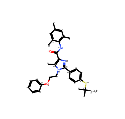 Cc1cc(C)c(NC(=O)c2nc(-c3ccc(SC(C)(C)C(=O)O)cc3)n(CCOc3ccccc3)c2C)c(C)c1